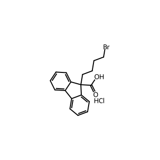 Cl.O=C(O)C1(CCCCBr)c2ccccc2-c2ccccc21